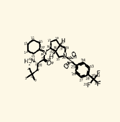 CC(C)(C)C[C@H](N)C(=O)N(C1CCCCC1)[C@H]1CC[C@@H]2CN(S(=O)(=O)c3ccc(C(F)(F)F)cc3)C[C@@H]21